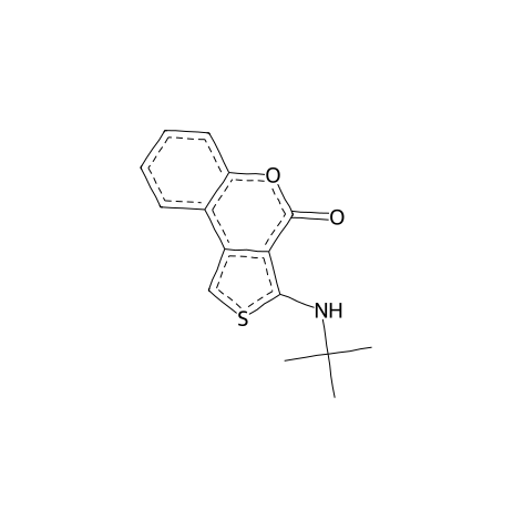 CC(C)(C)Nc1scc2c1c(=O)oc1ccccc12